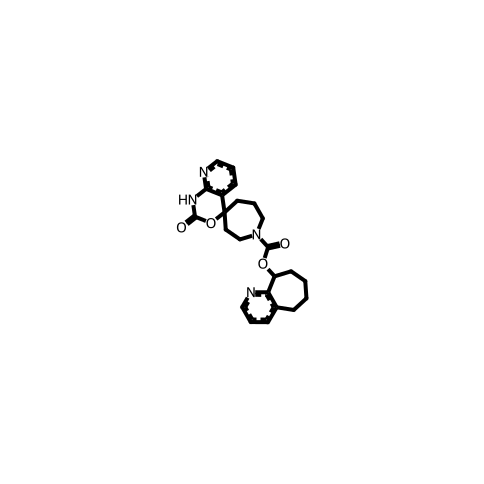 O=C1Nc2ncccc2C2(CCCN(C(=O)OC3CCCCc4cccnc43)CC2)O1